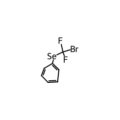 FC(F)(Br)[Se]c1ccccc1